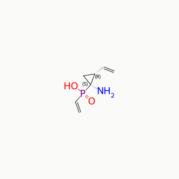 C=C[C@H]1C[C@]1(N)P(=O)(O)C=C